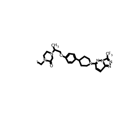 CC(COc1ccc(C2CCN(c3ccc4nnc(C(F)(F)F)n4n3)CC2)cc1)N1CCN(CI)C(=O)C1